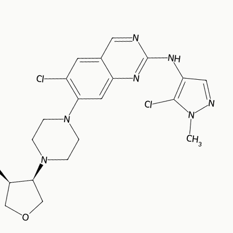 Cn1ncc(Nc2ncc3cc(Cl)c(N4CCN([C@H]5COC[C@H]5O)CC4)cc3n2)c1Cl